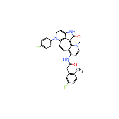 CN1C=CC(NC(=O)Cc2cc(F)ccc2C(F)(F)F)=c2ccc3c4c([nH]c(=O)c-4c21)=CCN3c1ccc(F)cc1